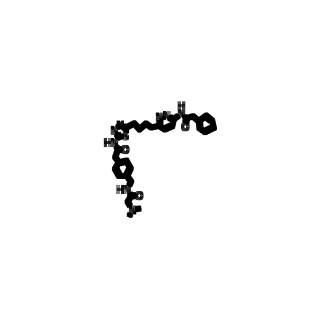 CN(C)CC(=O)NCc1ccc(CC(=O)Nc2nnc(CCCCc3ccc(NC(=O)Cc4ccccc4)nn3)s2)cc1